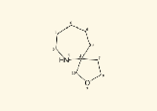 C1CCNC2(CC1)CCOC2